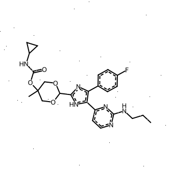 CCCNc1nccc(-c2[nH]c(C3OCC(C)(OC(=O)NC4CC4)CO3)nc2-c2ccc(F)cc2)n1